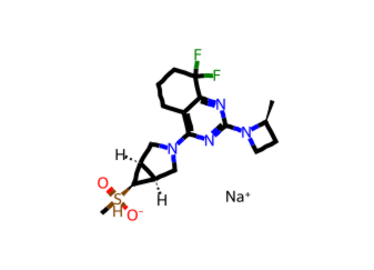 C[C@H]1CCN1c1nc(N2C[C@@H]3[C@H](C2)[C@@H]3[SH](C)(=O)[O-])c2c(n1)C(F)(F)CCC2.[Na+]